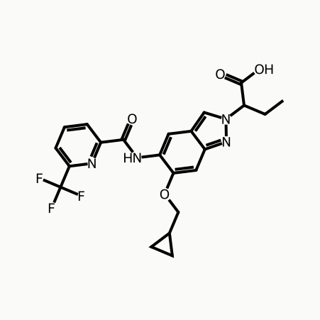 CCC(C(=O)O)n1cc2cc(NC(=O)c3cccc(C(F)(F)F)n3)c(OCC3CC3)cc2n1